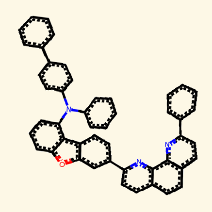 c1ccc(-c2ccc(N(c3ccccc3)c3cccc4oc5cc(-c6ccc7ccc8ccc(-c9ccccc9)nc8c7n6)ccc5c34)cc2)cc1